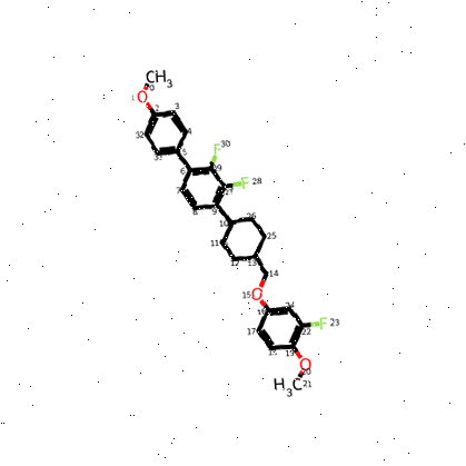 COc1ccc(-c2ccc(C3CCC(COc4ccc(OC)c(F)c4)CC3)c(F)c2F)cc1